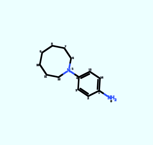 Nc1ccc(N2CCCCCCC2)cc1